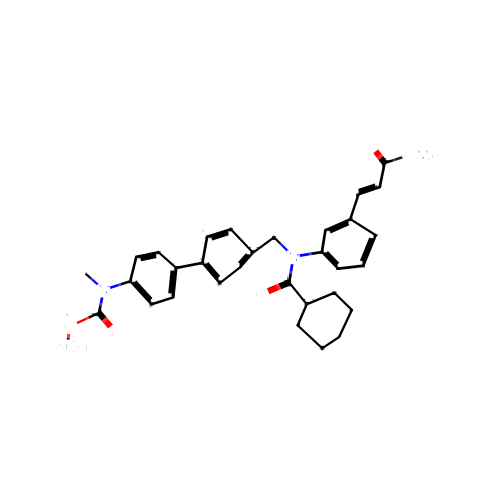 COC(=O)/C=C/c1cccc(N(Cc2ccc(-c3ccc(N(C)C(=O)OC(C)(C)C)cc3)cc2)C(=O)C2CCCCC2)c1